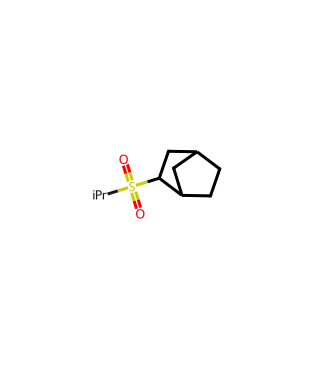 CC(C)S(=O)(=O)C1CC2CCC1C2